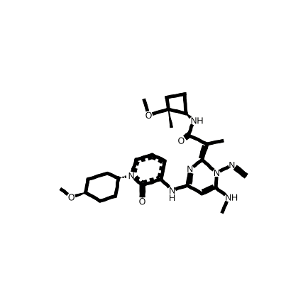 C=NN1C(NC)=CC(Nc2cccn([C@H]3CC[C@H](OC)CC3)c2=O)=N/C1=C(/C)C(=O)N[C@@H]1CC[C@@]1(C)OC